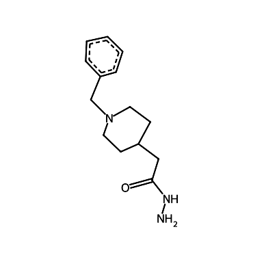 NNC(=O)CC1CCN(Cc2ccccc2)CC1